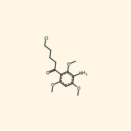 COc1cc(OC)c(C(=O)CCCCCl)c(OC)c1N